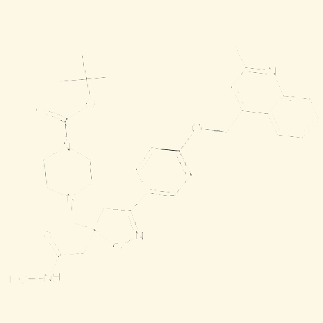 Cc1cc(COc2ccc(C3=NOC(CC(=O)NO)(CN4CCN(C(=O)OC(C)(C)C)CC4)C3)cc2)c2ccccc2n1